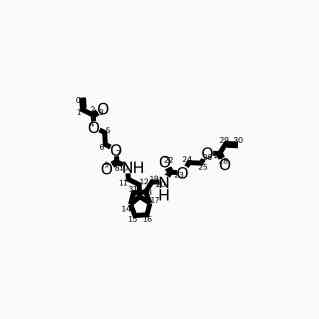 C=CC(=O)OCCOC(=O)NCCC1C2CCC1C(CNC(=O)OCCOC(=O)C=C)C2